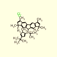 CC1=CC(C)(C)c2cc3c(cc21)-c1cc2c(cc1[CH]3[Zr+2]([C]1=CC(C(C)(C)C)=CC1C)=[C](C)C)C(C)(C)C=C2C.[Cl-].[Cl-]